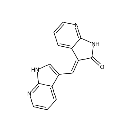 O=C1Nc2ncccc2/C1=C\c1c[nH]c2ncccc12